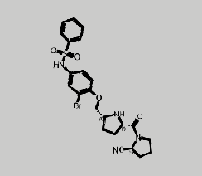 N#C[C@@H]1CCCN1C(=O)[C@@H]1CC[C@H](COc2ccc(NS(=O)(=O)c3ccccc3)cc2Br)N1